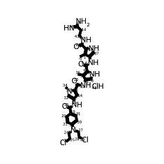 Cc1c(NC(=O)c2[nH]cc(NC(=O)c3cc(NC(=O)c4ccc(N(CCCl)CCCl)cc4)cn3C)c2C)c[nH]c1C(=O)NCCC(=N)N.Cl